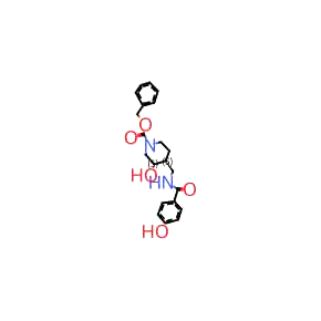 O=C(NC[C@@H]1CCN(C(=O)OCc2ccccc2)C[C@H]1O)c1ccc(O)cc1